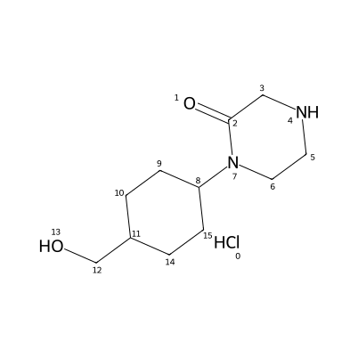 Cl.O=C1CNCCN1C1CCC(CO)CC1